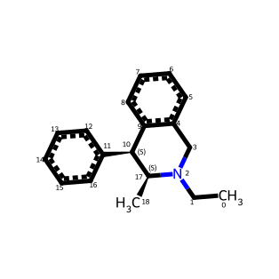 CCN1Cc2ccccc2[C@H](c2ccccc2)[C@@H]1C